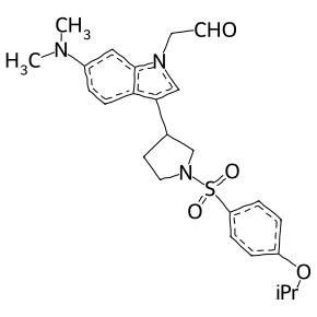 CC(C)Oc1ccc(S(=O)(=O)N2CCC(c3cn(CC=O)c4cc(N(C)C)ccc34)C2)cc1